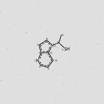 CC(S)n1ccc2ncccc21